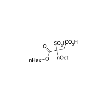 CCCCCCCCC(CC(=O)O)(C(=O)OCCCCCC)S(=O)(=O)O